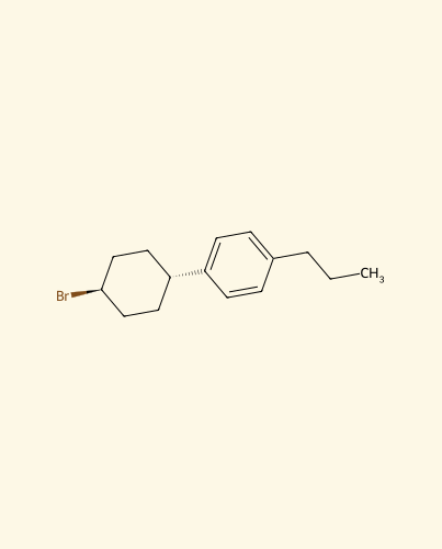 CCCc1ccc([C@H]2CC[C@H](Br)CC2)cc1